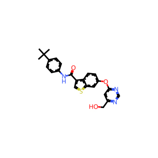 CC(C)(C)c1ccc(NC(=O)c2csc3cc(Oc4cc(CO)ncn4)ccc23)cc1